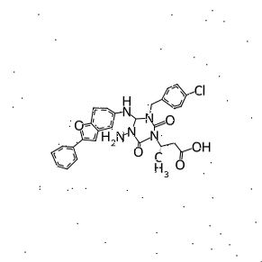 C[C@@H](CC(=O)O)N1C(=O)N(N)C(Nc2ccc3oc(-c4ccccc4)cc3c2)N(Cc2ccc(Cl)cc2)C1=O